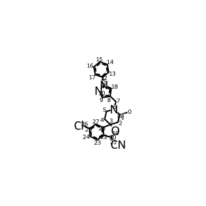 C[C@H]1CC2(CCN1Cc1cnn(-c3ccccc3)c1)OC(C#N)c1ccc(Cl)cc12